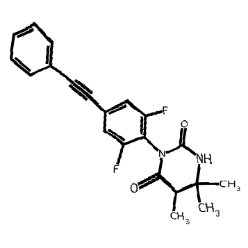 CC1C(=O)N(c2c(F)cc(C#Cc3ccccc3)cc2F)C(=O)NC1(C)C